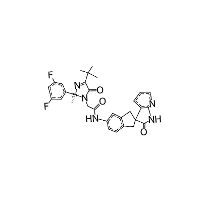 CC(C)(C)C1=N[C@](C)(c2cc(F)cc(F)c2)N(CC(=O)Nc2ccc3c(c2)CC2(C3)C(=O)Nc3ncccc32)C1=O